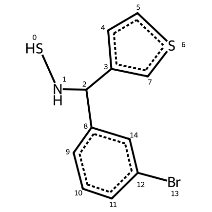 SNC(c1ccsc1)c1cccc(Br)c1